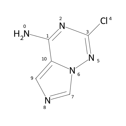 Nc1nc(Cl)nn2cncc12